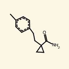 Cc1ccc(CCC2(C(N)=O)CC2)cc1